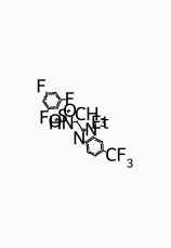 CCn1c([C@@H](C)NS(=O)(=O)c2c(F)cc(F)cc2F)nc2ccc(C(F)(F)F)cc21